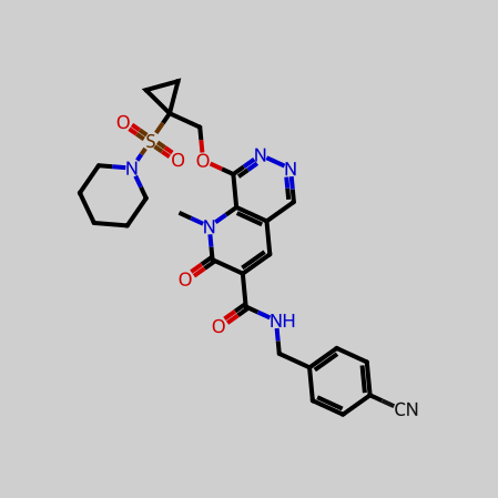 Cn1c(=O)c(C(=O)NCc2ccc(C#N)cc2)cc2cnnc(OCC3(S(=O)(=O)N4CCCCC4)CC3)c21